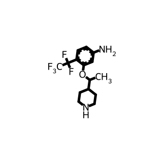 CC(Oc1cc(N)ccc1C(F)(F)C(F)(F)F)C1CCNCC1